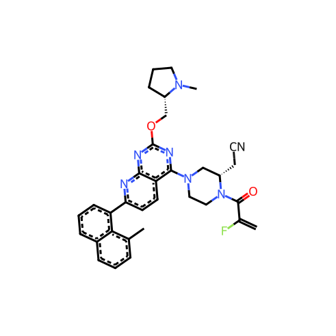 C=C(F)C(=O)N1CCN(c2nc(OC[C@@H]3CCCN3C)nc3nc(-c4cccc5cccc(C)c45)ccc23)C[C@@H]1CC#N